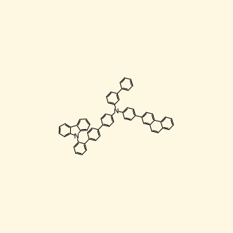 c1ccc(-c2cccc(N(c3ccc(-c4ccc(-c5ccccc5-n5c6ccccc6c6ccccc65)cc4)cc3)c3ccc(-c4ccc5c(ccc6ccccc65)c4)cc3)c2)cc1